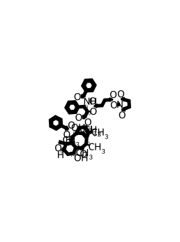 CC1=C2[C@@H](C)C(=O)[C@@]3(C)[C@H]([C@H](OC(=O)c4ccccc4)[C@](O)(C[C@@H]1OC(=O)[C@H](OC(=O)CCC(=O)ON1C(=O)CCC1=O)[C@@H](NC(=O)c1ccccc1)c1ccccc1)C2(C)C)[C@]1(C)CO[C@@H]1C[C@@H]3O